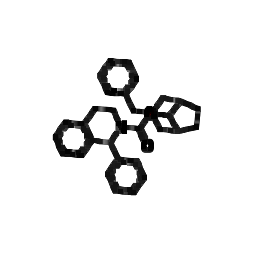 O=C(OC1C2CCC1CN(Cc1ccccc1)C2)N1CCc2ccccc2C1c1ccccc1